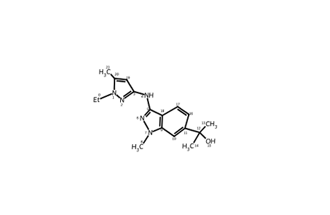 CCn1nc(Nc2nn(C)c3cc(C(C)(C)O)ccc23)cc1C